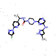 Cc1cc(Nc2cncc(N3CCN(C(=O)NC(C)c4ccc(-n5cc(F)cn5)nc4)CC3)n2)n[nH]1